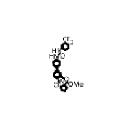 COC(=O)C1(N2Cc3cc(-c4ccc(NC(=O)Nc5cccc(C(F)(F)F)c5)cc4)ccc3C2=O)CCCC1